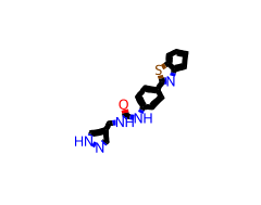 O=C(NCc1cn[nH]c1)Nc1ccc(-c2nc3ccccc3s2)cc1